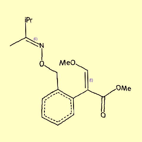 CO/C=C(/C(=O)OC)c1ccccc1CO/N=C(\C)C(C)C